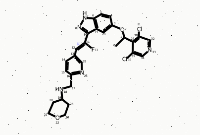 CC(Oc1ccc2[nH]nc(/C(F)=C/c3ccc(CNC4CCOCC4)nc3)c2c1)c1c(Cl)cncc1Cl